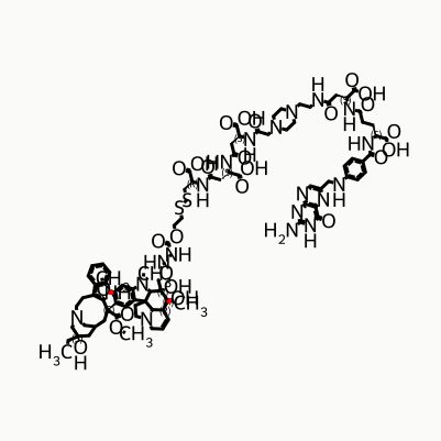 CC[C@]1(O)CC2CN(CCc3c([nH]c4ccccc34)[C@@](C(=O)OC)(c3cc4c(cc3OC)N(C)C3C45CCN4CC=C[C@](CC)(C45)[C@@H](O)[C@]3(O)CONNC(=O)OCCSSC[C@H](NC(=O)C[C@H](NC(=O)C[C@H](NC(=O)CN3CCN(CCNC(=O)C[C@H](NC(=O)CC[C@H](NC(=O)c4ccc(NCc5cnc6nc(N)[nH]c(=O)c6n5)cc4)C(=O)O)C(=O)O)CC3)C(=O)O)C(=O)O)C(=O)O)C2)C1